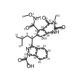 CON(C)C(=O)c1c(C(CC(C)C)c2nn(C(=O)O)c3ccccc23)sc2[nH]c(=O)n(C)c(=O)c12